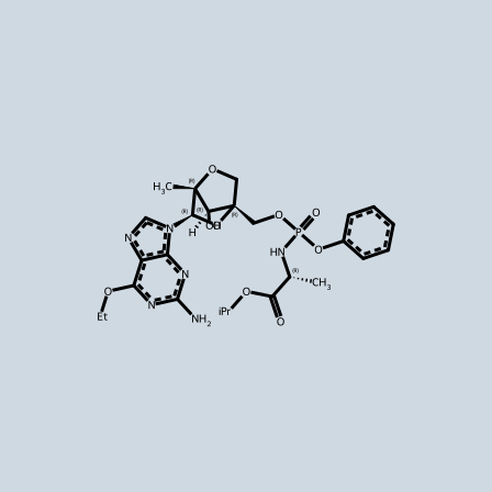 CCOc1nc(N)nc2c1ncn2[C@@H]1O[C@@]2(COP(=O)(N[C@H](C)C(=O)OC(C)C)Oc3ccccc3)CO[C@]1(C)[C@@H]2O